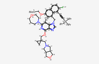 COCOc1cc(Cn2cnc3c(OCC4(CN5CC6COCC6C5)CC4)nc(N4CCCOCC4)c(C#N)c32)c2c(C#C[Si](C(C)C)(C(C)C)C(C)C)c(F)ccc2c1